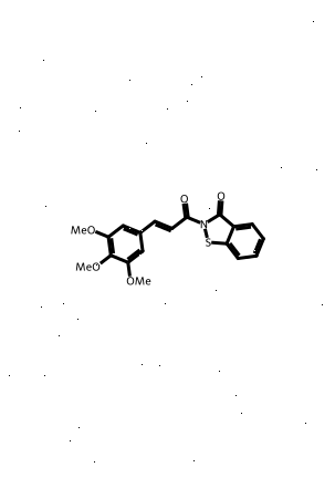 COc1cc(C=CC(=O)n2sc3ccccc3c2=O)cc(OC)c1OC